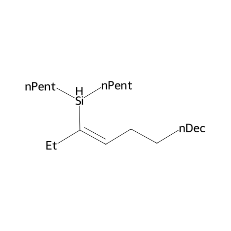 CCCCCCCCCCCCC=C(CC)[SiH](CCCCC)CCCCC